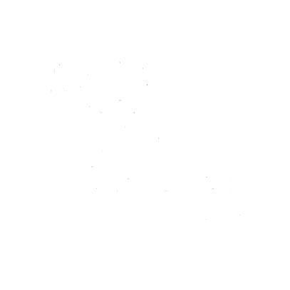 O=C(O)CCCC/C=C(\CCc1ccccc1OCC#Cc1ccccc1)C1CCCc2cc(C(=O)O)ccc21